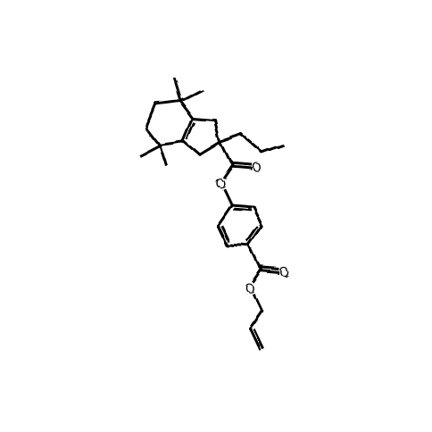 C=CCOC(=O)c1ccc(OC(=O)C2(CCC)CC3=C(C2)C(C)(C)CCC3(C)C)cc1